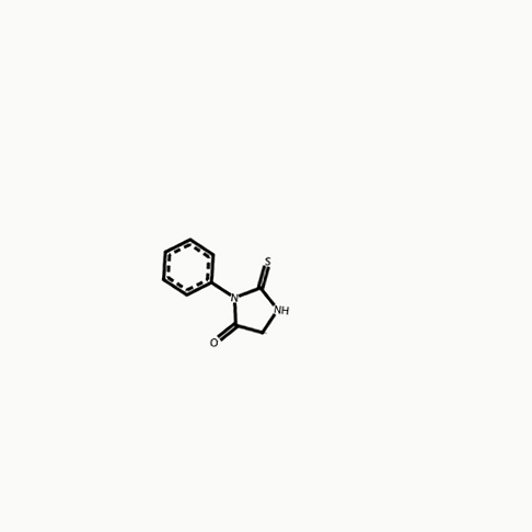 O=C1[CH]NC(=S)N1c1ccccc1